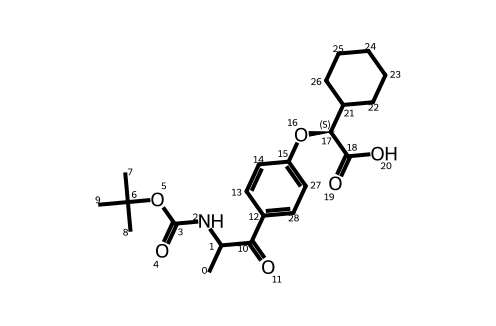 CC(NC(=O)OC(C)(C)C)C(=O)c1ccc(O[C@H](C(=O)O)C2CCCCC2)cc1